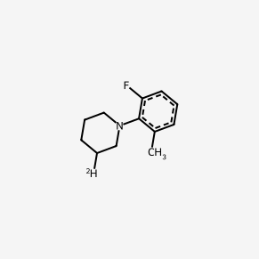 [2H]C1CCCN(c2c(C)cccc2F)C1